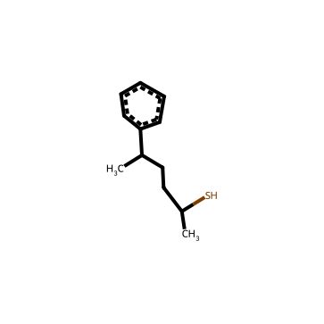 CC(S)CCC(C)c1ccccc1